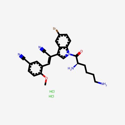 COc1ccc(C#N)cc1/C=C(\C#N)c1cn(C(=O)[C@H](N)CCCCN)c2ccc(Br)cc12.Cl.Cl